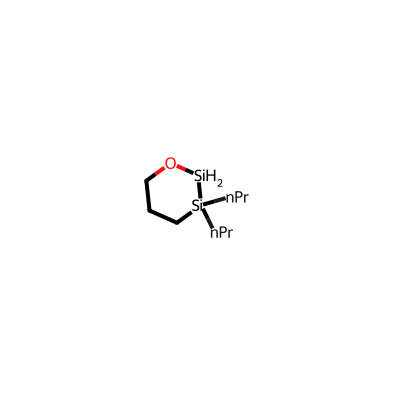 CCC[Si]1(CCC)CCCO[SiH2]1